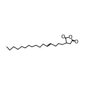 CCCCCCCCCCCC=CCCCC1CC(=O)OC1=O